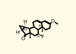 COC1=CC2=CCC3C([C@@H](F)C[C@]4(C)C(=O)[C@H]5C[C@H]5C34)[C@@]2(C)CC1